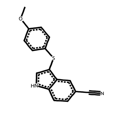 COc1ccc(Sc2c[nH]c3ccc(C#N)cc23)cc1